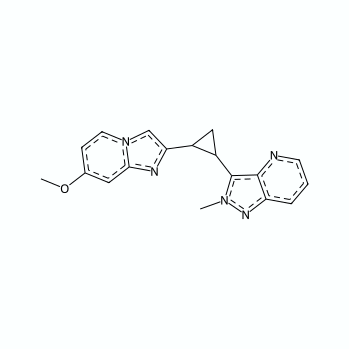 COc1ccn2cc(C3CC3c3c4ncccc4nn3C)nc2c1